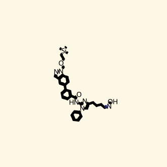 C[Si](C)(C)CCOCn1ncc2cc(-c3cccc(C(=O)Nc4nc(CCC/C=N\O)cn4-c4ccccc4)c3)ccc21